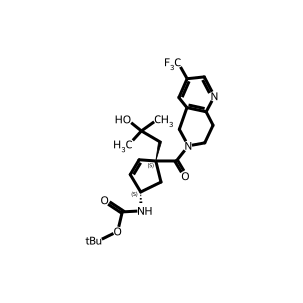 CC(C)(O)C[C@]1(C(=O)N2CCc3ncc(C(F)(F)F)cc3C2)C=C[C@@H](NC(=O)OC(C)(C)C)C1